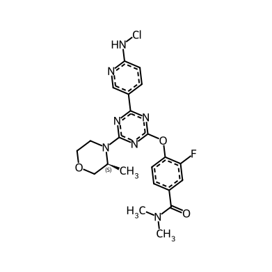 C[C@H]1COCCN1c1nc(Oc2ccc(C(=O)N(C)C)cc2F)nc(-c2ccc(NCl)nc2)n1